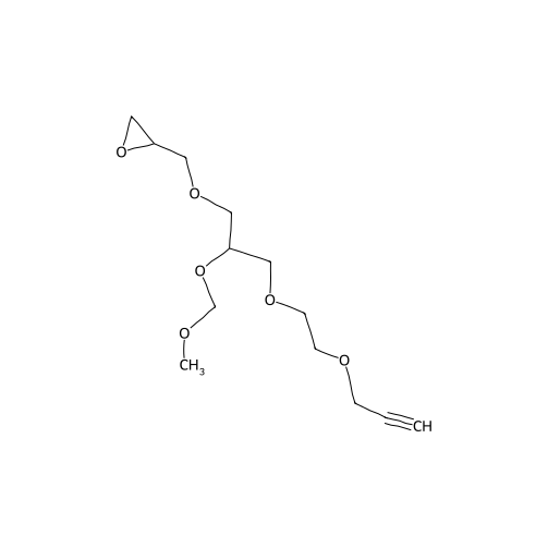 C#CCOCCOCC(COCC1CO1)OCOC